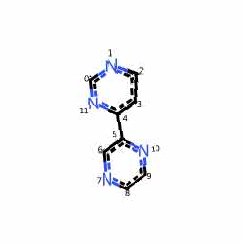 [c]1nccc(-c2cnccn2)n1